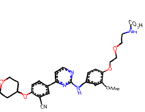 COc1cc(Nc2nccc(-c3ccc(OC4CCOCC4)c(C#N)c3)n2)ccc1OCCOCCNC(=O)O